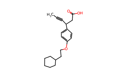 CC#CC(CC(=O)O)c1ccc(OCCC2CCCCC2)cc1